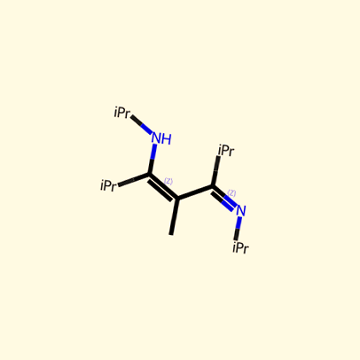 CC(/C(=N\C(C)C)C(C)C)=C(/NC(C)C)C(C)C